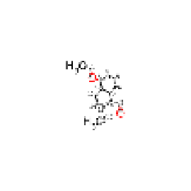 CCOc1cccc2c(C=O)c(CC)ccc12